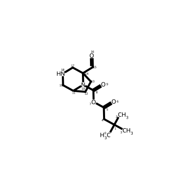 CC(C)(C)CC(=O)OC(=O)N1C2CCC1(C=O)CNC2